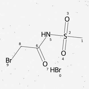 Br.CS(=O)(=O)NC(=O)CBr